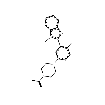 CC(=O)N1CCN(c2ccc(F)c(-c3nc4ccccc4n3C)c2)CC1